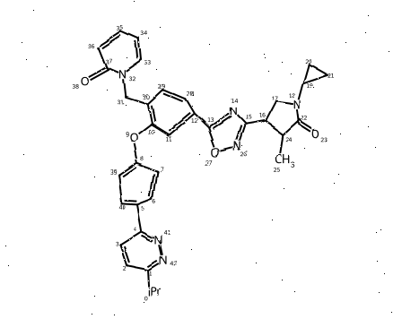 CC(C)c1ccc(-c2ccc(Oc3cc(-c4nc(C5CN(C6CC6)C(=O)C5C)no4)ccc3Cn3ccccc3=O)cc2)nn1